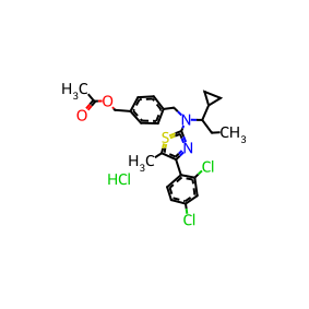 CCC(C1CC1)N(Cc1ccc(COC(C)=O)cc1)c1nc(-c2ccc(Cl)cc2Cl)c(C)s1.Cl